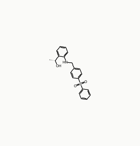 C[C@@H](O)c1ccccc1NCc1ccc(S(=O)(=O)c2ccccc2)cc1